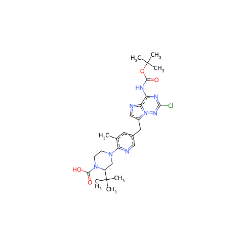 Cc1cc(Cc2cnc3c(NC(=O)OC(C)(C)C)nc(Cl)nn23)cnc1N1CCN(C(=O)O)C(C(C)(C)C)C1